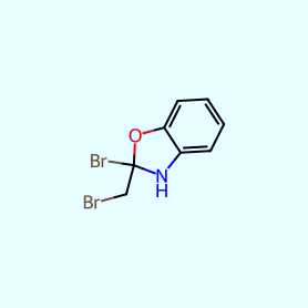 BrCC1(Br)Nc2ccccc2O1